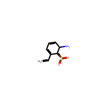 C=CC1=CC=CC(N)C1=S(=O)=O